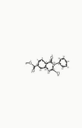 COC(=O)c1ccc2c(=O)n(-c3ccccc3)c(Cl)nc2c1